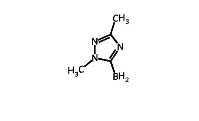 Bc1nc(C)nn1C